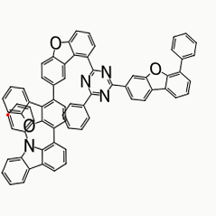 c1ccc(-c2nc(-c3ccc4c(c3)oc3c(-c5ccccc5)cccc34)nc(-c3cccc4oc5ccc(-c6ccc(-c7cccc8c9ccccc9n(-c9ccccc9)c78)c7oc8ccccc8c67)cc5c34)n2)cc1